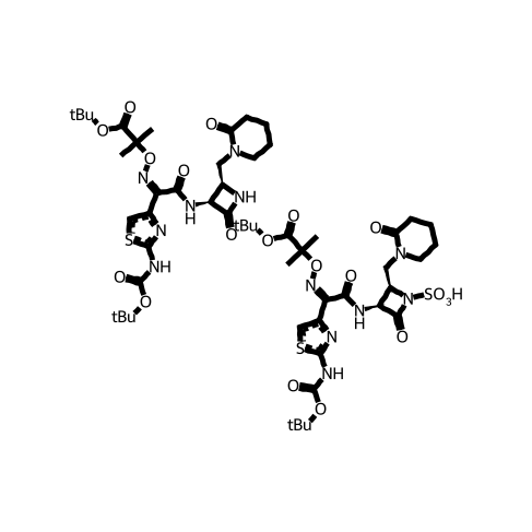 CC(C)(C)OC(=O)Nc1nc(/C(=N/OC(C)(C)C(=O)OC(C)(C)C)C(=O)N[C@@H]2C(=O)N(S(=O)(=O)O)[C@@H]2CN2CCCCC2=O)cs1.CC(C)(C)OC(=O)Nc1nc(/C(=N/OC(C)(C)C(=O)OC(C)(C)C)C(=O)N[C@@H]2C(=O)N[C@@H]2CN2CCCCC2=O)cs1